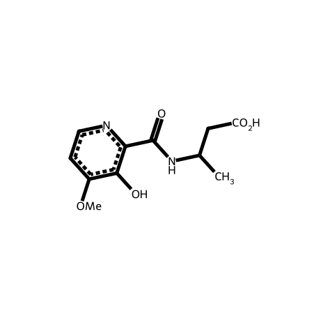 COc1ccnc(C(=O)NC(C)CC(=O)O)c1O